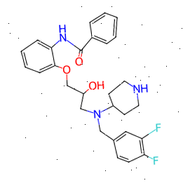 O=C(Nc1ccccc1OCC(O)CN(Cc1ccc(F)c(F)c1)C1CCNCC1)c1ccccc1